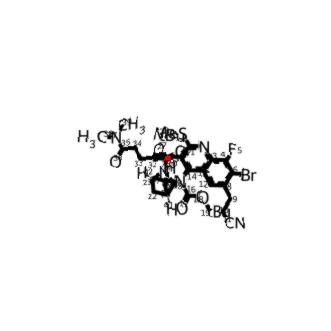 CSc1nc2c(F)c(Br)c(CCC#N)cc2c(N(C(=O)OC(C)(C)C)[C@H]2[C@@H]3C[C@H]2N(C(=O)OC(C)(C)C)C3)c1C#CCCC(=O)N(C)C